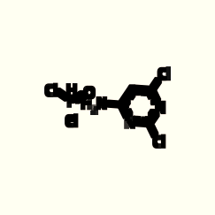 Nc1cc(Cl)nc(Cl)n1.O=[PH](Cl)Cl